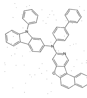 c1ccc(-c2ccc(N(c3ccc4c5ccccc5n(-c5ccccc5)c4c3)c3cc4oc5ccc6ccccc6c5c4cn3)cc2)cc1